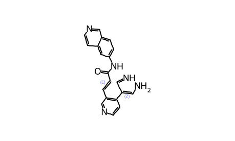 N=C/C(=C\N)c1ccncc1/C=C/C(=O)Nc1ccc2cnccc2c1